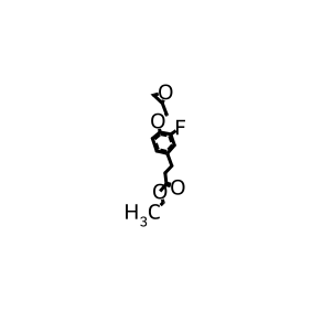 CCOC(=O)CCc1ccc(OCC2CO2)c(F)c1